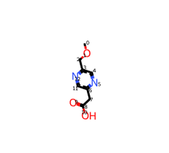 COCc1cnc(CC(=O)O)cn1